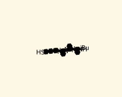 CCC(C)Nc1ccc(N=Nc2ccc(N=Nc3ccc(N=Nc4ccc(C5=CC=C(C6CCC(S)CC6)CC5)cc4)c4ccccc34)c3ccccc23)c2ccccc12